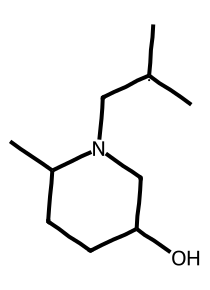 C[C](C)CN1CC(O)CCC1C